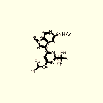 CC(=O)Nc1cc2c(-c3cc(OC(F)F)nc(C(C)(F)F)n3)cn(C)c2cn1